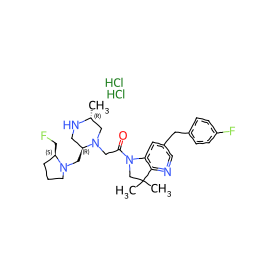 C[C@@H]1CN(CC(=O)N2CC(C)(C)c3ncc(Cc4ccc(F)cc4)cc32)[C@@H](CN2CCC[C@H]2CF)CN1.Cl.Cl